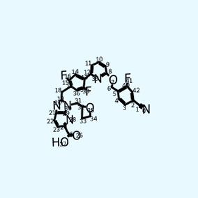 N#Cc1ccc(COc2cccc(-c3cc(F)c(Cc4nc5ccc(C(=O)O)nc5n4CC4CCO4)cc3F)n2)c(F)c1